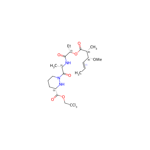 C/C=C/[C@@H](OC)[C@@H](C)C(=O)O[C@@H](CC)C(=O)N[C@@H](C)C(=O)N1CCC[C@@H](C(=O)OCC(Cl)(Cl)Cl)N1